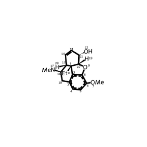 CC[C@]12c3c4ccc(OC)c3O[C@H]1[C@@H](O)C=C[C@H]2[C@H](NC)C4